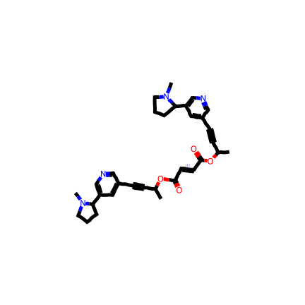 CC(C#Cc1cncc(C2CCCN2C)c1)OC(=O)/C=C/C(=O)OC(C)C#Cc1cncc(C2CCCN2C)c1